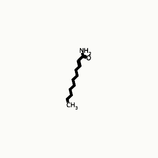 CCCCCCCCC=CC(N)=O